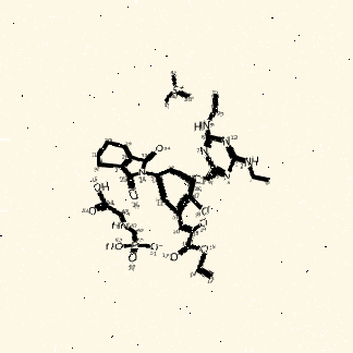 CCNc1nc(Cl)nc(NCC)n1.CCOC(=O)/C(Cl)=C/c1cc(N2C(=O)C3=C(CCCC3)C2=O)ccc1Cl.C[S+](C)C.O=C(O)CNCP(=O)([O-])O